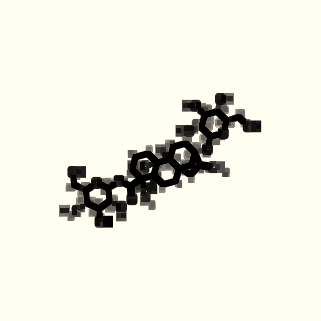 C=C1C[C@@]23CC[C@H]4[C@@](C)(CCC[C@@]4(C)C(=O)O[C@@H]4O[C@H](CO)[C@@H](C)[C@H](O)[C@H]4O)[C@@H]2CC[C@]1(O[C@@H]1O[C@H](CO)[C@@H](O)[C@H](O)[C@H]1O)C3